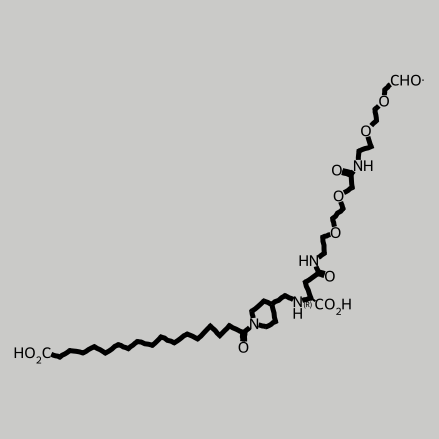 O=[C]COCCOCCNC(=O)COCCOCCNC(=O)C[C@@H](NCC1CCN(C(=O)CCCCCCCCCCCCCCCCC(=O)O)CC1)C(=O)O